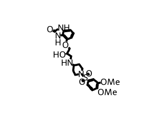 COc1ccc(S(=O)(=O)N2CCC(NC[C@@H](O)COc3cccc4[nH]c(=O)[nH]c34)CC2)cc1OC